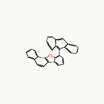 c1ccc2c(-c3cccc4c3oc3c5ccccc5ccc43)c3ccccc3cc2c1